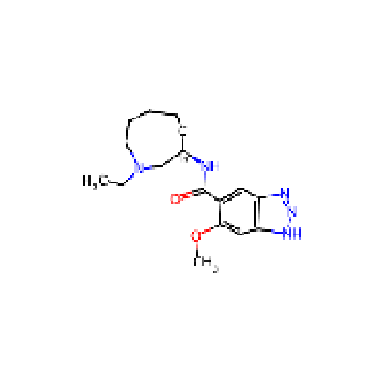 CCN1CCCCC[C@@H](NC(=O)c2cc3nn[nH]c3cc2OC)C1